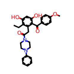 CCc1c(O)cc(O)c(C(=O)c2ccc(OC)cc2)c1CC(=O)N1CCN(c2ccccc2)CC1